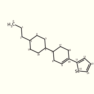 CCCC1CCC(C2CC=C(c3ccc[se]3)CC2)CC1